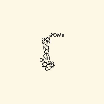 CO[C@H]1C[C@H]1c1cnc2c(c1)OCCN2c1ccc2cnc(CNC(=O)c3cc(F)c4c(c3)S(=O)(=O)[C@@H](F)CCO4)cc2n1